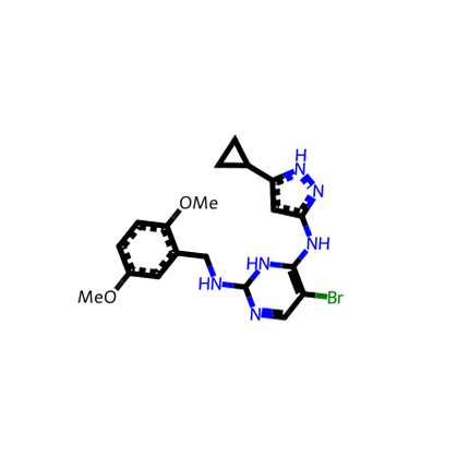 COc1ccc(OC)c(CNC2N=CC(Br)=C(Nc3cc(C4CC4)[nH]n3)N2)c1